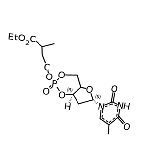 CCOC(=O)C(C)CCOP1(=O)OCC2O[C@H](n3cc(C)c(=O)[nH]c3=O)C[C@H]2O1